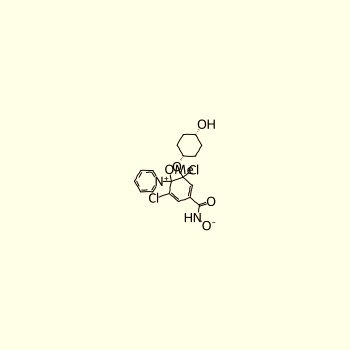 COC1([n+]2ccccc2)C(Cl)=CC(C(=O)N[O-])=CC1(Cl)O[C@H]1CC[C@@H](O)CC1